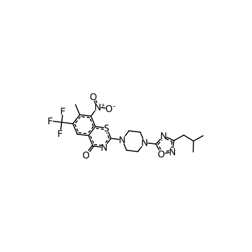 Cc1c(C(F)(F)F)cc2c(=O)nc(N3CCN(c4nc(CC(C)C)no4)CC3)sc2c1[N+](=O)[O-]